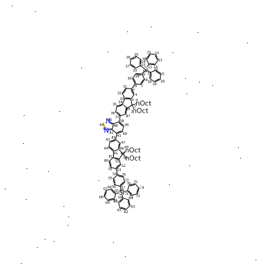 CCCCCCCCC1(CCCCCCCC)c2cc(-c3ccc([Si](c4ccccc4)(c4ccccc4)c4ccccc4)cc3)ccc2-c2ccc(-c3ccc(-c4ccc5c(c4)C(CCCCCCCC)(CCCCCCCC)c4cc(-c6ccc([Si](c7ccccc7)(c7ccccc7)c7ccccc7)cc6)ccc4-5)c4nsnc34)cc21